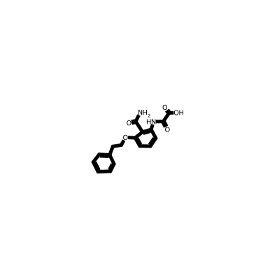 NC(=O)c1c(NC(=O)C(=O)O)cccc1OCCc1ccccc1